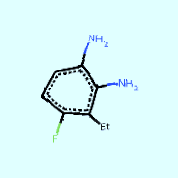 CCc1c(F)ccc(N)c1N